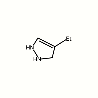 CCC1=CNNC1